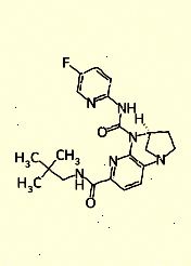 CC(C)(C)CNC(=O)c1ccc2c(n1)N(C(=O)Nc1ccc(F)cn1)[C@H]1CCN2C1